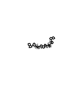 c1cc(-c2nnc(-c3ccc4c(ccc5nc(-c6nnc(-c7cccc(-c8cccc9ccccc89)n7)s6)ccc54)n3)s2)nc(-c2cccc3ccccc23)c1